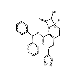 NC1C(=O)N2C(C(=O)OC(c3ccccc3)c3ccccc3)=C(CSc3cnns3)CS[C@H]12